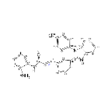 Nc1ccccc1NC(=O)/C=C/c1cccc(-c2nc3ccccc3n2-c2ccc(Cl)cc2)c1